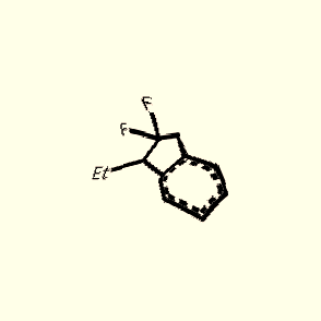 CCC1c2ccccc2CC1(F)F